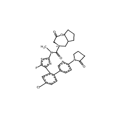 CN(C(=O)[C@@H](CC(=O)O)CC1CCCC1)c1nc(-c2cc(Cl)ccc2-c2ccc(N3CCCC3=O)nc2)c(F)s1